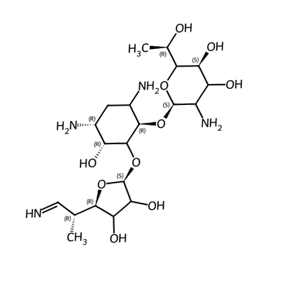 C[C@H](C=N)[C@H]1O[C@@H](OC2[C@H](O[C@H]3OC([C@@H](C)O)[C@@H](O)C(O)C3N)C(N)C[C@@H](N)[C@H]2O)C(O)C1O